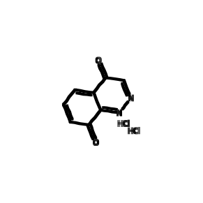 Cl.Cl.O=C1C=NN=C2C(=O)C=CC=C12